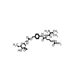 C=C[C@H]1O[C@H](CNC(=O)OCc2ccc(NC(=O)[C@H](CCCNC(N)=O)NC(=O)[C@@H](N)C(C)C)cc2)C[C@@]2(CO2)[C@@H]1O